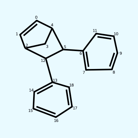 C1=CC2CC1C(c1ccccc1)C2c1ccccc1